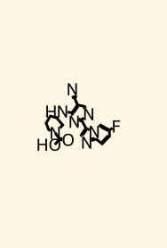 N#Cc1cnc(-c2cnc3ccc(F)cn23)nc1NC1CCCN(C(=O)O)C1